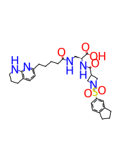 O=C(CCCCc1ccc2c(n1)NCCC2)NC[C@H](NC(=O)C1CN(S(=O)(=O)c2ccc3c(c2)CCC3)C1)C(=O)O